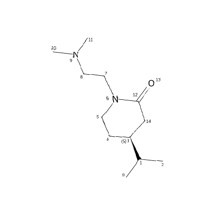 CC(C)[C@H]1CCN(CCN(C)C)C(=O)C1